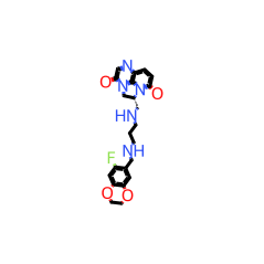 O=c1cnc2ccc(=O)n3c2n1C[C@H]3CNCCCNCc1cc2c(cc1F)OCCO2